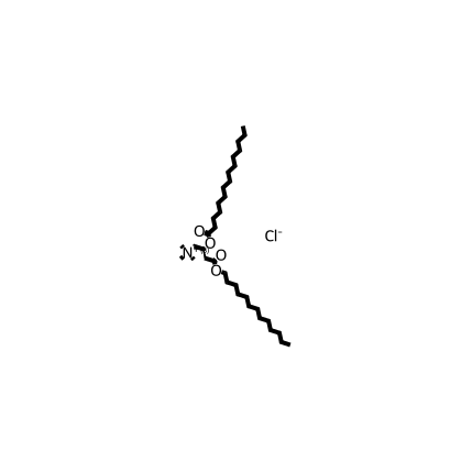 CCCCCCCCCCCCCCC(=O)O[C@@H](CC(=O)OCCCCCCCCCCCCC)C[N+](C)(C)C.[Cl-]